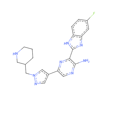 Nc1ncc(-c2cnn(CC3CCCNC3)c2)nc1-c1nc2cc(F)ccc2[nH]1